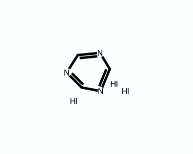 I.I.I.c1ncncn1